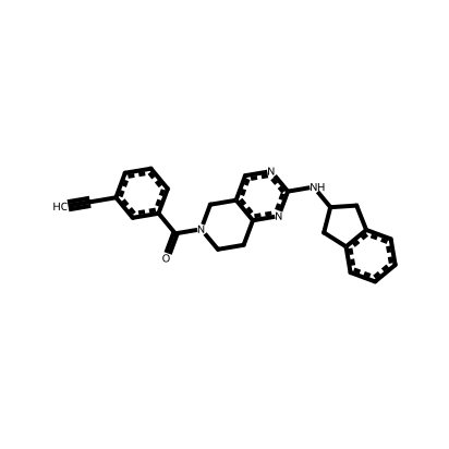 C#Cc1cccc(C(=O)N2CCc3nc(NC4Cc5ccccc5C4)ncc3C2)c1